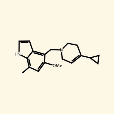 COc1cc(C)c2[nH]ccc2c1CN1CC=C(C2CC2)CC1